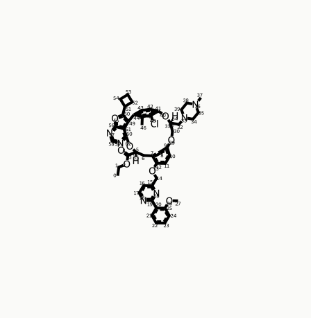 CCOC(=O)[C@H]1Cc2cc(ccc2OCc2ccnc(-c3ccccc3OC)n2)OC[C@@H](CN2CCN(C)CC2)Oc2ccc(c(C)c2Cl)-c2c(C3CCC3)oc3ncnc(c23)O1